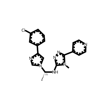 C[C@@H](Nc1nnc(-c2ccncc2)n1C)n1cnc(-c2cccc(Cl)c2)c1